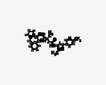 C[C@H](CC(=O)Nc1cc(-c2ccc(C(F)(F)F)nc2)nn1C)C(=O)N[C@@H]1C(=O)N2CCCN2Cc2ccccc21